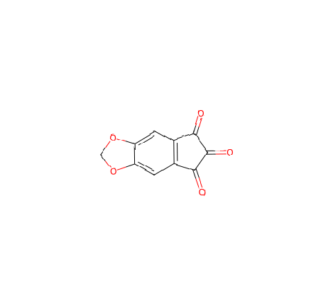 O=c1c(=O)c2cc3c(cc2c1=O)OCO3